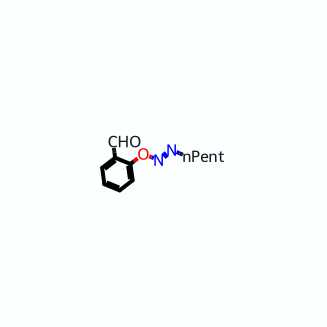 CCCCCN=NOc1ccccc1C=O